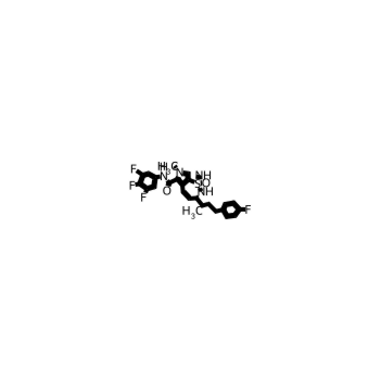 C[C@@H](CCc1ccc(F)cc1)[C@H]1C=Cc2c(cn(C)c2C(=O)Nc2cc(F)c(F)c(F)c2)S(=N)(=O)N1